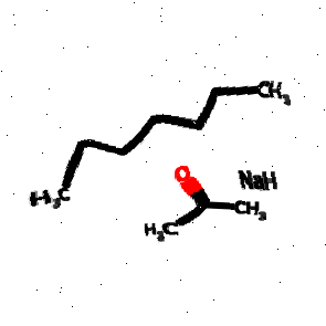 CC(C)=O.CCCCCCC.[NaH]